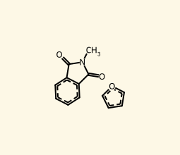 CN1C(=O)c2ccccc2C1=O.c1ccoc1